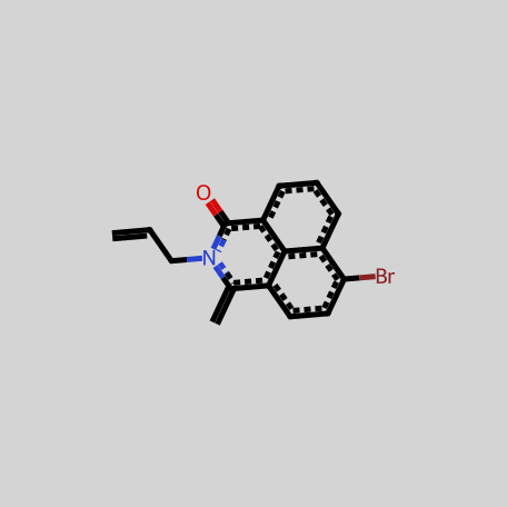 C=CCn1c(=C)c2ccc(Br)c3cccc(c1=O)c32